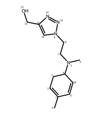 CC1=CCC(N(C)CCn2cc(CO)nn2)C=C1